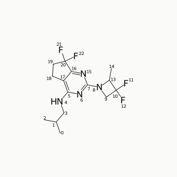 CC(C)CNc1nc(N2CC(F)(F)C2C)nc2c1CCC2(F)F